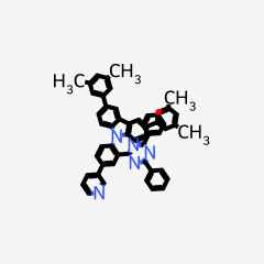 Cc1cc(C)cc(-c2ccc3c(c2)c2cc(-c4cc(C)cc(C)c4)ccc2n3-c2ccc(-c3cccnc3)cc2-c2nc(-c3ccccc3)nc(-c3ccccc3)n2)c1